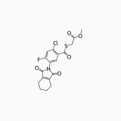 COC(=O)CSC(=O)c1cc(N2C(=O)C3=C(CCCC3)C2=O)c(F)cc1Cl